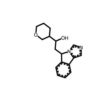 OC(CC1c2ccccc2-c2cncn21)C1CCCOC1